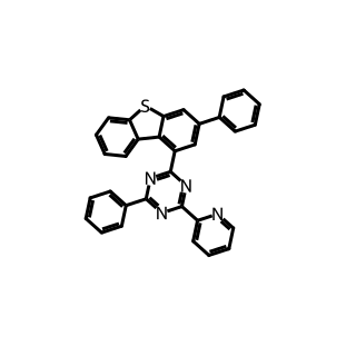 c1ccc(-c2cc(-c3nc(-c4ccccc4)nc(-c4ccccn4)n3)c3c(c2)sc2ccccc23)cc1